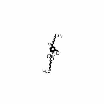 CCCCCCCOC(=O)Oc1ccc(C(=O)CCCCCCC)cc1C=O